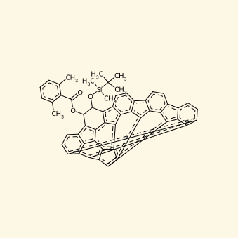 Cc1cccc(C)c1C(=O)OC1c2c3ccc4c5ccc6c7ccc8c9ccc%10c(c%11c2c2c3c4c3c5c6c4c7c8c5c9c%10c%11c6c2c3c4c56)C1O[Si](C)(C)C(C)(C)C